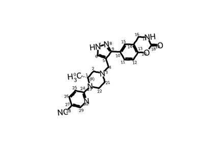 C[C@@H]1CN(Cc2c[nH]nc2-c2ccc3c(c2)CNC(=O)O3)CCN1c1ccc(C#N)cn1